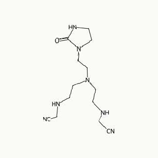 N#CCNCCN(CCNCC#N)CCN1CCNC1=O